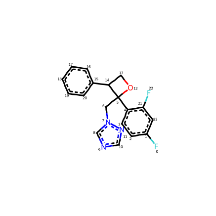 Fc1ccc(C2(Cn3cncn3)OCC2c2ccccc2)c(F)c1